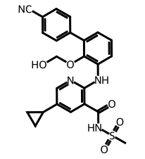 CS(=O)(=O)NC(=O)c1cc(C2CC2)cnc1Nc1cccc(-c2ccc(C#N)cc2)c1OCO